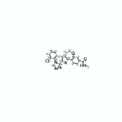 CNC(=O)c1ccc2c(c1)OCCc1cc(-c3nncn3-c3ccccc3Cl)sc1-2